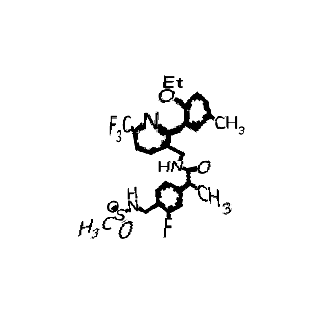 CCOc1ccc(C)cc1-c1nc(C(F)(F)F)ccc1CNC(=O)C(C)c1ccc(CNS(C)(=O)=O)c(F)c1